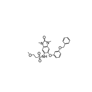 COCCS(=O)(=O)Nc1cc2c(cc1Oc1cccc(OCc3ccccc3)c1)n(C)c(=O)n2C